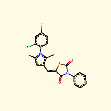 Cc1cc(C=C2SC(=O)N(c3ccccc3)C2=O)c(C)n1-c1ccc(Cl)cc1Cl